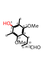 [CH2]c1c(O)c(C)c(OC)c(C[C@@H](C)C=O)c1OC